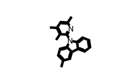 Cc1ccc2c(c1)c1ccccc1n2-c1nc(C)cc(C)c1C